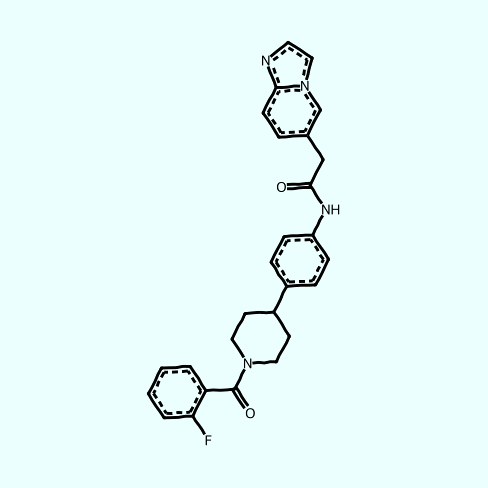 O=C(Cc1ccc2nccn2c1)Nc1ccc(C2CCN(C(=O)c3ccccc3F)CC2)cc1